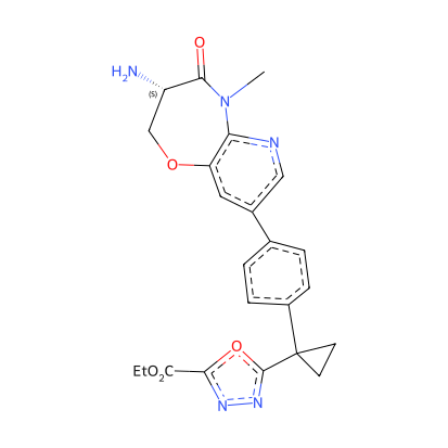 CCOC(=O)c1nnc(C2(c3ccc(-c4cnc5c(c4)OC[C@H](N)C(=O)N5C)cc3)CC2)o1